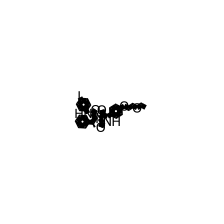 CCOCCOc1ccc(C2NC(=O)N([C@H](C(=O)Nc3ccc(I)cc3)[C@@H](C)c3ccccc3)C2=O)cc1